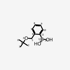 CC(C)(C)OCc1ccccc1B(O)O